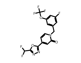 O=c1cc(-c2nnc(C(F)F)o2)ccn1Cc1cc(F)cc(OC(F)(F)F)c1